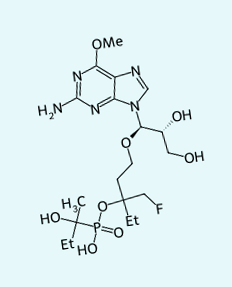 CCC(CF)(CCO[C@H]([C@H](O)CO)n1cnc2c(OC)nc(N)nc21)OP(=O)(O)C(C)(O)CC